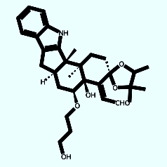 CC1O[C@@]2(CC[C@]3(C)[C@@]4(C)c5[nH]c6ccccc6c5C[C@@H]4C[C@H](OCCCO)[C@@]3(O)/C2=C/C=O)OC1(C)C